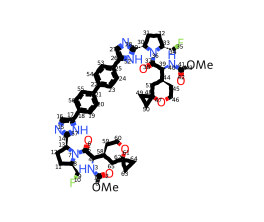 COC(=O)N[C@H](C(=O)N1[C@@H](CF)CC[C@H]1c1ncc(-c2ccc(-c3ccc(-c4cnc([C@@H]5CC[C@H](CF)N5C(=O)[C@@H](NC(=O)OC)[C@H]5CCOC6(CC6)C5)[nH]4)cc3)cc2)[nH]1)[C@H]1CCOC2(CC2)C1